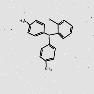 Cc1ccc(N(c2ccc(C)cc2)c2ccccc2I)cc1